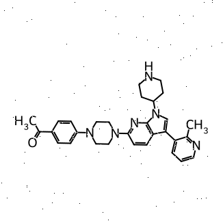 CC(=O)c1ccc(N2CCN(c3ccc4c(-c5cccnc5C)cn(C5CCNCC5)c4n3)CC2)cc1